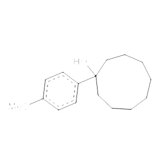 COc1ccc(C2(O)CCCCCCCC2)cc1